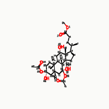 COC(=O)CC[C@@H](C)[C@H]1CC[C@H]2[C@H]3[C@H](C[C@H](O)[C@]12C)[C@@]1(C)CC[C@](O)(OC(C)=O)C[C@H]1C[C@]3(O)OC(C)=O